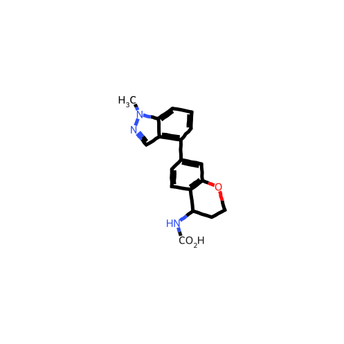 Cn1ncc2c(-c3ccc4c(c3)OCCC4NC(=O)O)cccc21